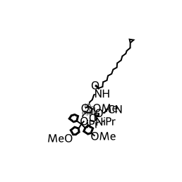 COc1ccc(C(OC[C@H]2O[C@@H](CCCNC(=O)CCCCCCCCCCCCCC3CC3)[C@H](OC)[C@@H]2OP(OCCC#N)N(C(C)C)C(C)C)(c2ccccc2)c2ccc(OC)cc2)cc1